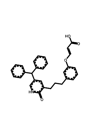 O=C(O)/C=C/Oc1cccc(CCCc2cc(C(c3ccccc3)c3ccccc3)c[nH]c2=O)c1